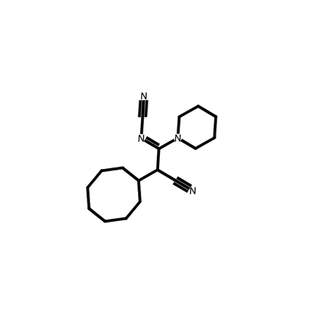 N#CN=C(C(C#N)C1CCCCCCC1)N1CCCCC1